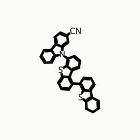 N#Cc1ccc2c3ccccc3n(-c3cccc4c3sc3cccc(-c5cccc6c7c(sc56)CCC=C7)c34)c2c1